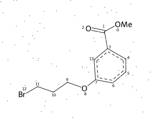 COC(=O)c1cccc(OCCCBr)c1